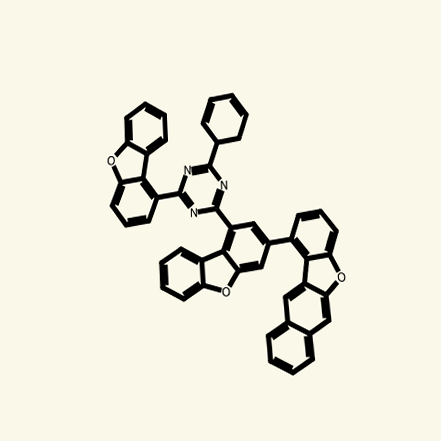 C1=CCC(c2nc(-c3cccc4oc5ccccc5c34)nc(-c3cc(-c4cccc5oc6cc7ccccc7cc6c45)cc4oc5ccccc5c34)n2)C=C1